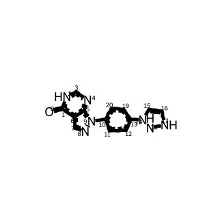 O=c1[nH]cnc2c1cnn2-c1ccc(N2C=CNN2)cc1